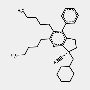 CCCCCc1nc2c(c(-c3ccccc3)c1CCCCC)CC[C@@]2(C#N)CC1CCCCC1